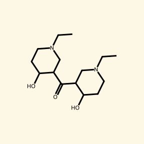 CCN1CCC(O)C(C(=O)C2CN(CC)CCC2O)C1